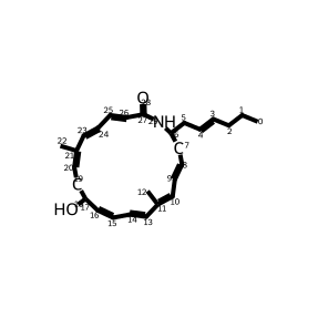 CCC/C=C/CC1C/C=C/C=C(C)/C=C/C=C\C(O)C\C=C(C)/C=C/C=C/C(=O)N1